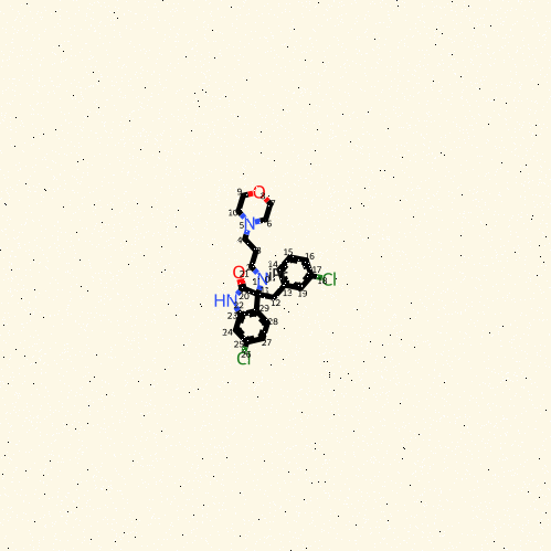 CC(C)N(CCCN1CCOCC1)C1(Cc2cccc(Cl)c2)C(=O)Nc2cc(Cl)ccc21